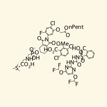 CCCCCOC(=O)COc1cc(N2C(=O)C3=C(CCCC3)C2=O)c(F)cc1Cl.COc1c(Cl)ccc(Cl)c1C(=O)O.C[S+](C)C.O=C(Nc1nc(OC(F)F)cc(OC(F)F)n1)NS(=O)(=O)c1ccccc1C(=O)O.O=C(O)CNCP(=O)([O-])O